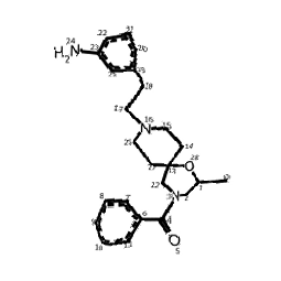 CC1CN(C(=O)c2ccccc2)CC2(CCN(CCc3cccc(N)c3)CC2)O1